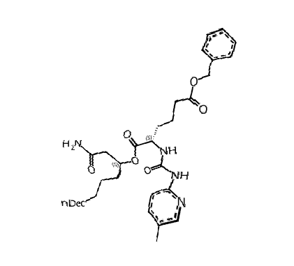 CCCCCCCCCCCCC[C@@H](CC(N)=O)OC(=O)[C@H](CCCC(=O)OCc1ccccc1)NC(=O)Nc1ccc(C)cn1